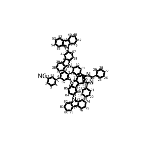 N#Cc1cccc(-c2ccc(-c3cc(-c4nc(-c5ccccc5)nc(-c5ccccc5)n4)ccc3-n3c4ccccc4c4cc(-n5c6ccccc6c6ccccc65)ccc43)c(-n3c4ccccc4c4cc(-n5c6ccccc6c6ccccc65)ccc43)c2)c1